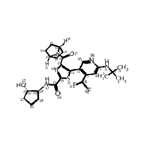 CC(C)(C)Nc1cc(C(F)F)c(-c2sc(C(=O)N[C@H]3CCC[C@@H]3O)nc2C(=O)N2[C@H]3CC[C@@H]2CC3)cn1